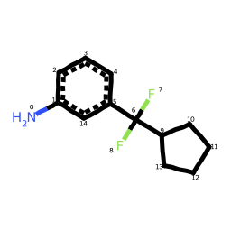 Nc1cccc(C(F)(F)C2CCCC2)c1